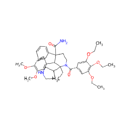 CCOc1cc(C(=O)N2CCC(C(N)=O)(c3ccccc3)C(c3ccc(OC)c(OC)c3)C2(CC)C2CCNC2)cc(OCC)c1OCC